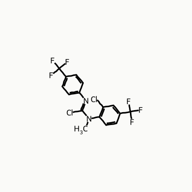 CN(C(Cl)=Nc1ccc(C(F)(F)F)cc1)c1ccc(C(F)(F)F)cc1Cl